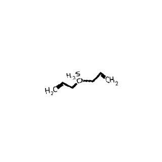 C=CCOCC=C.S